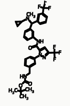 CN(C1CC1)C(c1cccc(NC(=O)c2cc(C(F)(F)F)nn2-c2cccc(CNC(=O)OC(C)(C)C)c2)c1)c1cccc(C(F)(F)F)c1